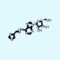 OC[C@H]1O[C@@H](n2cnc3c(NN=Cc4cncs4)ncnc32)[C@H](O)[C@@H]1O